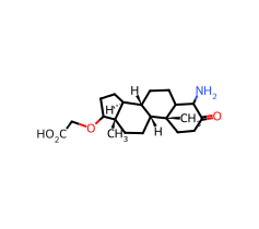 C[C@]12CCC(=O)C(N)C1CC[C@@H]1[C@H]2CC[C@]2(C)C(OCC(=O)O)CC[C@@H]12